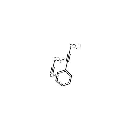 C#CC(=O)O.O=C(O)C#Cc1ccccc1